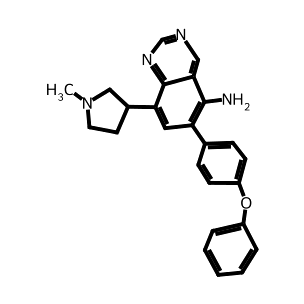 CN1CCC(c2cc(-c3ccc(Oc4ccccc4)cc3)c(N)c3cncnc23)C1